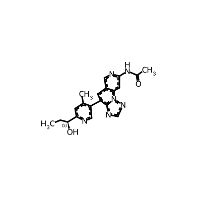 CC[C@H](O)c1cc(C)c(-c2cc3cnc(NC(C)=O)cc3n3ncnc23)cn1